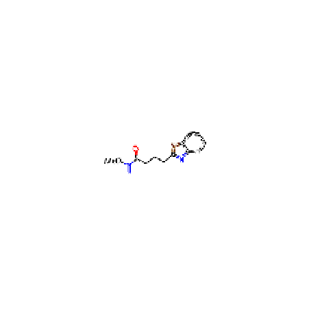 CONC(=O)CCCc1nc2ccccc2s1